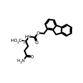 NC(=O)CC[C@H](NC(=O)OCc1cccc2c1Cc1ccccc1-2)C(=O)O